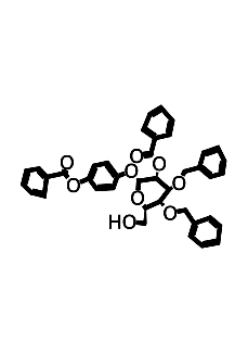 O=C(Oc1ccc(O[C@H]2O[C@H](CO)[C@H](OCc3ccccc3)[C@H](OCc3ccccc3)[C@H]2OC(=O)c2ccccc2)cc1)c1ccccc1